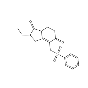 CCC1CC2=C(CS(=O)(=O)c3ccccc3)C(=O)CCC2C1=O